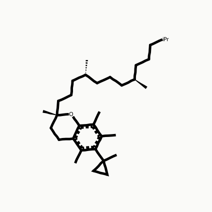 Cc1c(C)c(C2(C)CC2)c(C)c2c1O[C@@](C)(CCC[C@H](C)CCC[C@H](C)CCCC(C)C)CC2